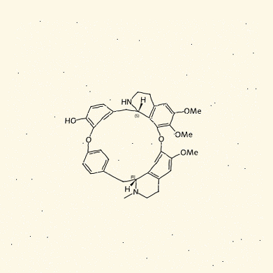 COc1cc2c3cc1Oc1c(OC)c(OC)cc4c1[C@H](Cc1ccc(O)c(c1)Oc1ccc(cc1)C[C@H]3N(C)CC2)NCC4